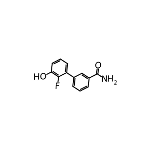 NC(=O)c1cccc(-c2cccc(O)c2F)c1